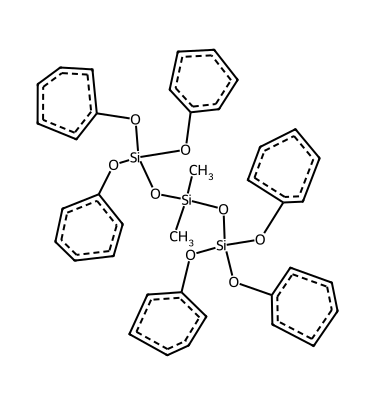 C[Si](C)(O[Si](Oc1ccccc1)(Oc1ccccc1)Oc1ccccc1)O[Si](Oc1ccccc1)(Oc1ccccc1)Oc1ccccc1